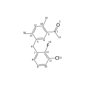 CC(=O)c1cc(Cc2cccc(Cl)c2F)c(C)cc1C